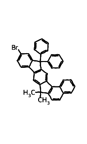 CC1(C)c2cc3c(cc2-c2c1ccc1ccccc21)C(c1ccccc1)(c1ccccc1)c1cc(Br)ccc1-3